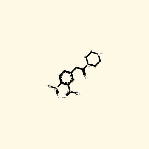 O=C(Cc1ccc([N+](=O)[O-])c([N+](=O)[O-])c1)N1CCOCC1